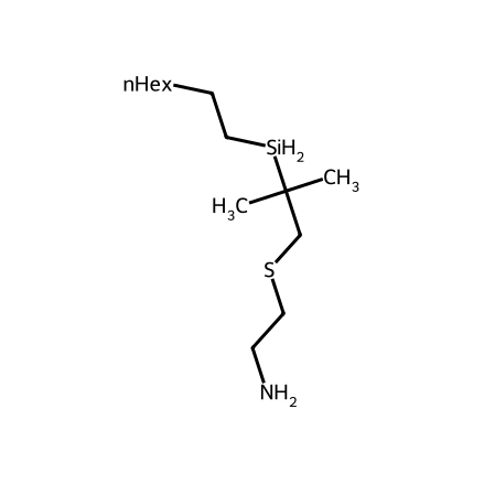 CCCCCCCC[SiH2]C(C)(C)CSCCN